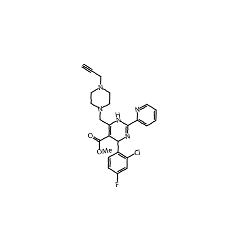 C#CCN1CCN(CC2=C(C(=O)OC)C(c3ccc(F)cc3Cl)N=C(c3ccccn3)N2)CC1